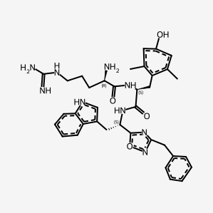 Cc1cc(O)cc(C)c1C[C@H](NC(=O)[C@H](N)CCCNC(=N)N)C(=O)N[C@@H](Cc1c[nH]c2ccccc12)c1nc(Cc2ccccc2)no1